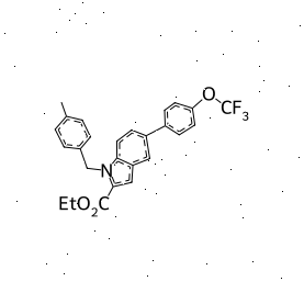 CCOC(=O)c1cc2cc(-c3ccc(OC(F)(F)F)cc3)ccc2n1Cc1ccc(C)cc1